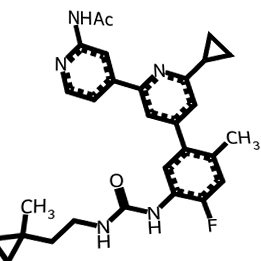 CC(=O)Nc1cc(-c2cc(-c3cc(NC(=O)NCCC4(C)CC4)c(F)cc3C)cc(C3CC3)n2)ccn1